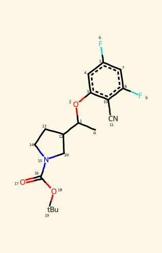 CC(Oc1cc(F)cc(F)c1C#N)C1CCN(C(=O)OC(C)(C)C)C1